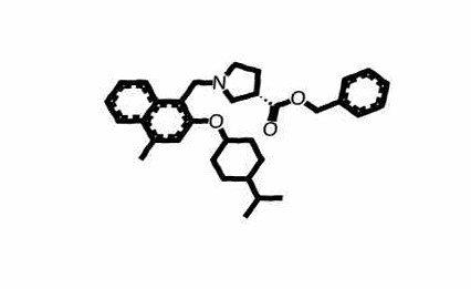 Cc1cc(OC2CCC(C(C)C)CC2)c(CN2CC[C@H](C(=O)OCc3ccccc3)C2)c2ccccc12